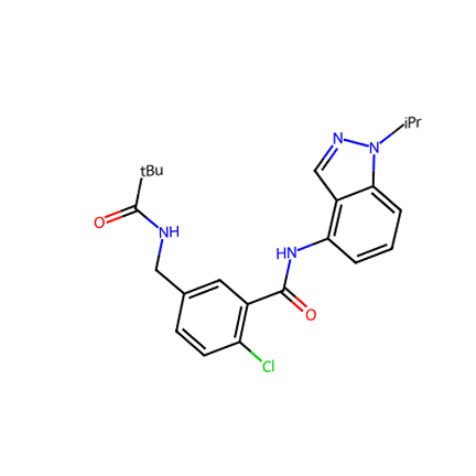 CC(C)n1ncc2c(NC(=O)c3cc(CNC(=O)C(C)(C)C)ccc3Cl)cccc21